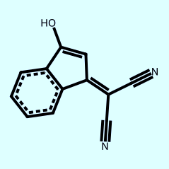 N#CC(C#N)=C1C=C(O)c2ccccc21